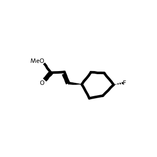 COC(=O)C=C[C@H]1CC[C@H](F)CC1